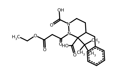 CCOC(=O)CC(=O)N1N(C(=O)O)CCC(Cc2ccccc2)C1(C(=O)O)C(C)(C)C